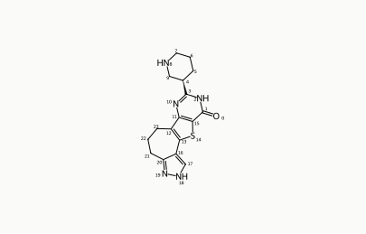 O=c1[nH]c([C@@H]2CCCNC2)nc2c3c(sc12)-c1c[nH]nc1CCC3